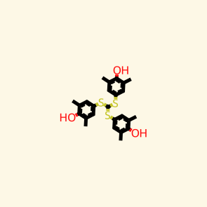 Cc1cc(SC(Sc2cc(C)c(O)c(C)c2)Sc2cc(C)c(O)c(C)c2)cc(C)c1O